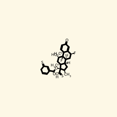 C[C@@H]1C[C@H]2[C@@H]3C[C@H](F)C4=CC(=O)C=C[C@]4(C)[C@@]3(F)[C@@H](O)C[C@]2(C)[C@@]1(OC(=O)C1=CC(=S)CC=C1)C(O)=S